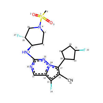 CS(=O)(=O)N1CC[C@@H](Nc2ncc3c(F)c(C#N)c(C4CCC(F)C4)n3n2)[C@H](F)C1